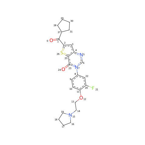 O=C(c1cc2ncn(-c3ccc(OCCN4CCCC4)c(F)c3)c(=O)c2s1)C1CCCC1